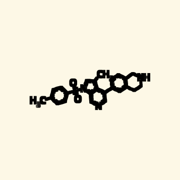 Cc1ccc(S(=O)(=O)n2cc(C)c3c(-c4ccc5c(c4)CCNC5)cncc32)cc1